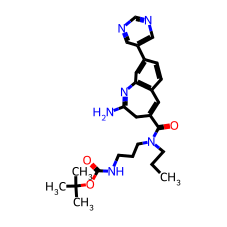 CCCN(CCCNC(=O)OC(C)(C)C)C(=O)C1=Cc2ccc(-c3cncnc3)cc2N=C(N)C1